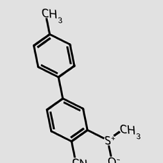 Cc1ccc(-c2ccc(C#N)c([S+](C)[O-])c2)cc1